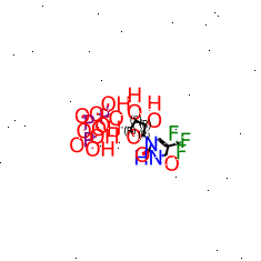 O=c1[nH]c(=O)n([C@@H]2O[C@H](COP(=O)(O)OP(=O)(O)OP(=O)(O)O)[C@@H](O)[C@H]2O)cc1C(F)(F)F